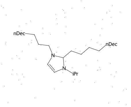 CCCCCCCCCCCCCCC1N(CCCCCCCCCCCCC)C=CN1C(C)C